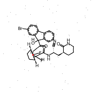 N#C[C@H](C[C@@H]1CCCNC1=O)NC(=O)[C@H]1[C@@H]2CC[C@@H](CC2(F)F)N1C(=O)C1(O)c2ccccc2-c2ccc(Br)cc21